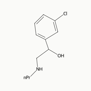 CCCNCC(O)c1cccc(Cl)c1